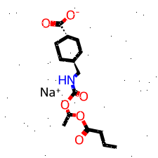 CCCC(=O)OC(C)OC(=O)NC[C@H]1CC[C@H](C(=O)[O-])CC1.[Na+]